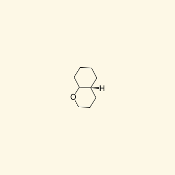 C1CC[C@@H]2CCCOC2C1